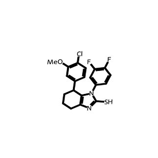 COc1cc(C2CCCc3nc(S)n(-c4ccc(F)c(F)c4)c32)ccc1Cl